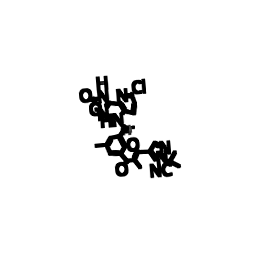 Cc1cc([C@@H](C)Nc2ccc(Cl)nc2-c2noc(=O)[nH]2)c2oc(-c3cnn(C(C)(C)C#N)c3)c(C)c(=O)c2c1